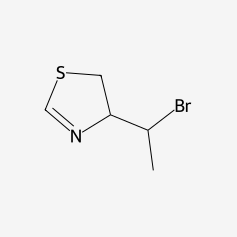 CC(Br)C1CSC=N1